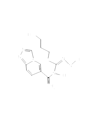 C=C(c1ccc2nncn2c1)N(C)/C(=N\NC)SCCCC